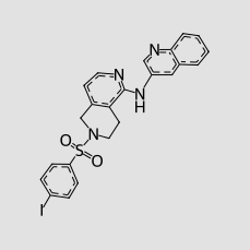 O=S(=O)(c1ccc(I)cc1)N1CCc2c(ccnc2Nc2cnc3ccccc3c2)C1